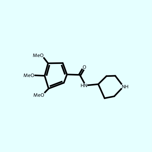 COc1cc(C(=O)NC2CCNCC2)cc(OC)c1OC